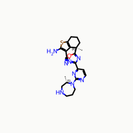 C[C@H]1CNCCCN1c1nccc(-c2noc([C@]3(C)CCCc4sc(N)c(C#N)c43)n2)n1